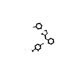 O=C(O)c1ccc(COc2ccccc2/C=C2\CC(=O)N(c3cccc(Cl)c3)C2=O)cc1O